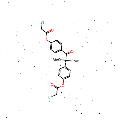 COC(OC)(C(=O)c1ccc(OC(=O)CCl)cc1)c1ccc(OC(=O)CCl)cc1